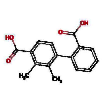 Cc1c(C(=O)O)ccc(-c2ccccc2C(=O)O)c1C